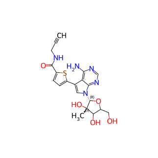 C#CCNC(=O)c1ccc(-c2cn([C@@H]3OC(CO)C(O)[C@]3(C)O)c3ncnc(N)c23)s1